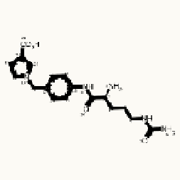 NC(=O)NCCC[C@H](N)C(=O)Nc1ccc(Cn2ccc(C(=O)O)c2)cc1